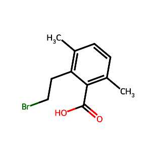 Cc1ccc(C)c(C(=O)O)c1CCBr